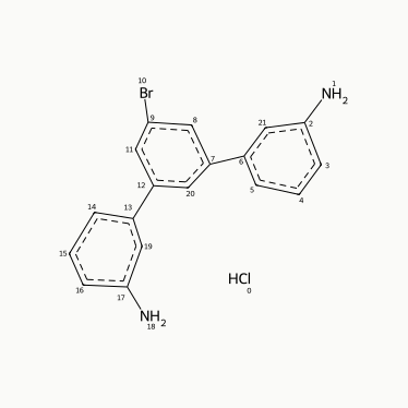 Cl.Nc1cccc(-c2cc(Br)cc(-c3cccc(N)c3)c2)c1